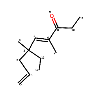 C=CCC(C)(/C=C(\C)C(=O)CC)CC